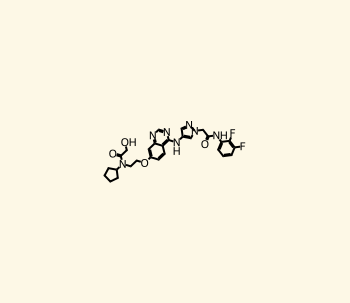 O=C(Cn1cc(Nc2ncnc3cc(OCCN(C(=O)CO)C4CCCC4)ccc23)cn1)Nc1cccc(F)c1F